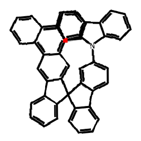 c1ccc2c(c1)-c1ccc(-n3c4ccccc4c4ccccc43)cc1C21c2ccccc2-c2cc3c4ccccc4c4ccccc4c3cc21